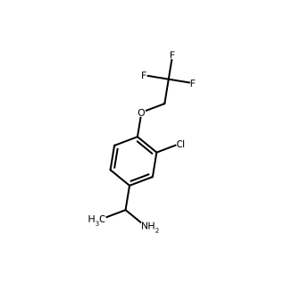 CC(N)c1ccc(OCC(F)(F)F)c(Cl)c1